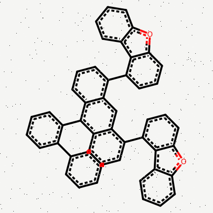 c1ccc(-c2ccccc2-c2c3cccc(-c4cccc5oc6ccccc6c45)c3cc3c(-c4cccc5oc6ccccc6c45)cccc23)cc1